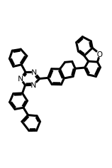 C1=CC2Oc3ccccc3C2C(C2=Cc3ccc(-c4nc(-c5ccccc5)nc(-c5cccc(-c6ccccc6)c5)n4)cc3CC2)=C1